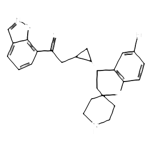 O=C(CC1CC1[C@H]1CC2(CCNCC2)Oc2ccc(Br)cc21)c1cccc2cn[nH]c12